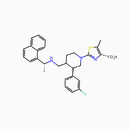 Cc1sc(N2CCC(CN[C@H](C)c3cccc4ccccc34)C(c3cccc(F)c3)C2)nc1C(=O)O